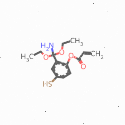 C=CC(=O)Oc1ccc(S)cc1C(N)(OCC)OCC